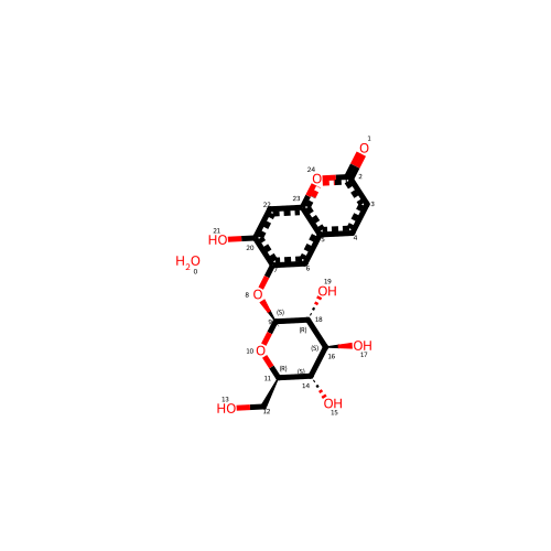 O.O=c1ccc2cc(O[C@@H]3O[C@H](CO)[C@@H](O)[C@H](O)[C@H]3O)c(O)cc2o1